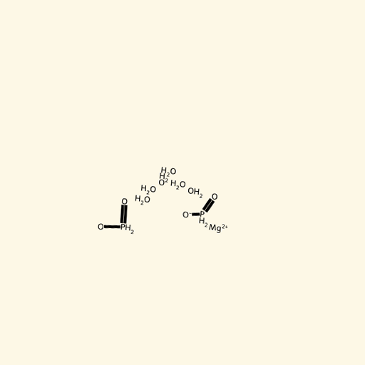 O.O.O.O.O.O.O=[PH2][O-].O=[PH2][O-].[Mg+2]